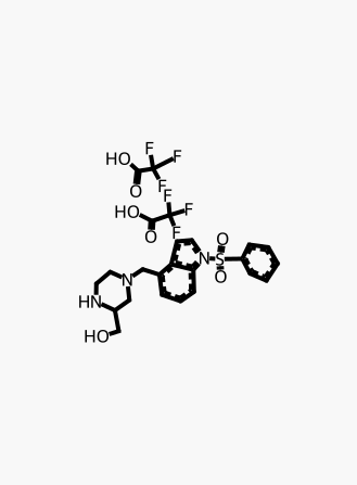 O=C(O)C(F)(F)F.O=C(O)C(F)(F)F.O=S(=O)(c1ccccc1)n1ccc2c(CN3CCNC(CO)C3)cccc21